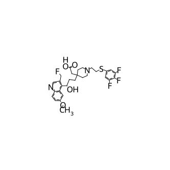 COc1ccc2ncc(CF)c(C(O)CCC3(CC(=O)O)CCN(CCSc4cc(F)c(F)c(F)c4)CC3)c2c1